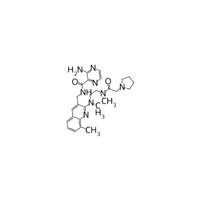 Cc1cccc2cc(CNC(=O)c3nccnc3N)c(N(C)CCN(C)C(=O)CN3CCCC3)nc12